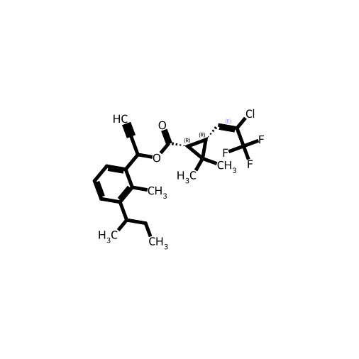 C#CC(OC(=O)[C@@H]1[C@H](/C=C(/Cl)C(F)(F)F)C1(C)C)c1cccc(C(C)CC)c1C